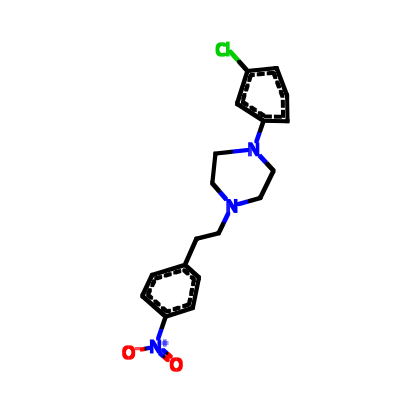 O=[N+]([O-])c1ccc(CCN2CCN(c3cccc(Cl)c3)CC2)cc1